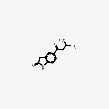 CC(C)CC(=O)c1ccc2c(c1)CC(=O)N2